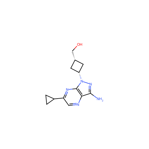 Nc1nn([C@H]2C[C@@H](CO)C2)c2nc(C3CC3)cnc12